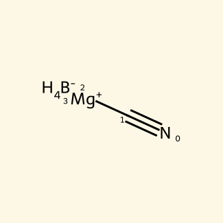 N#[C][Mg+].[BH4-]